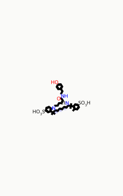 CC\N=C(/C=C/C=C/C=C1\N(CCCCCC(=O)NCCc2ccc(O)cc2)c2ccc(S(=O)(=O)O)cc2C1(C)C)C(C)(C)c1cc(S(=O)(=O)O)ccc1C